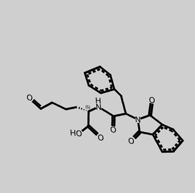 O=CCCC[C@H](NC(=O)C(Cc1ccccc1)N1C(=O)c2ccccc2C1=O)C(=O)O